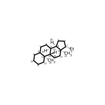 CC[C@H]1CC[C@@H]2[C@@H]3CCC4CCCC[C@]4(C)[C@H]3CC[C@]12C